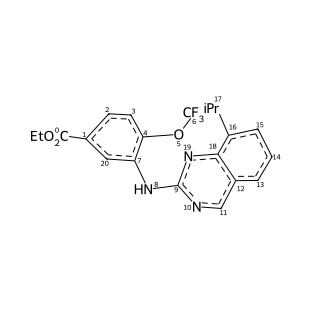 CCOC(=O)c1ccc(OC(F)(F)F)c(Nc2ncc3cccc(C(C)C)c3n2)c1